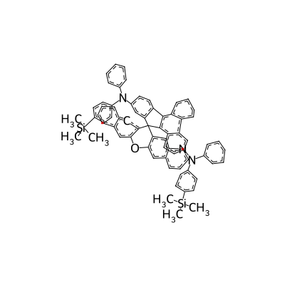 C[Si](C)(C)c1ccc(N(c2ccccc2)c2ccc3c(c2)C2(c4cc5ccccc5cc4Oc4cc5cccnc5cc42)c2c-3c3ccccc3c3cc(N(c4ccccc4)c4ccc([Si](C)(C)C)cc4)ccc23)cc1